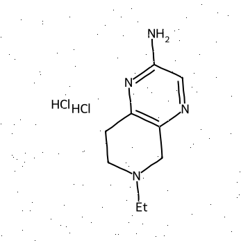 CCN1CCc2nc(N)cnc2C1.Cl.Cl